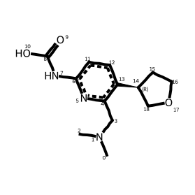 CN(C)Cc1nc(NC(=O)O)ccc1[C@H]1CCOC1